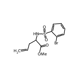 C=CCC(NS(=O)(=O)c1ccccc1Br)C(=O)OC